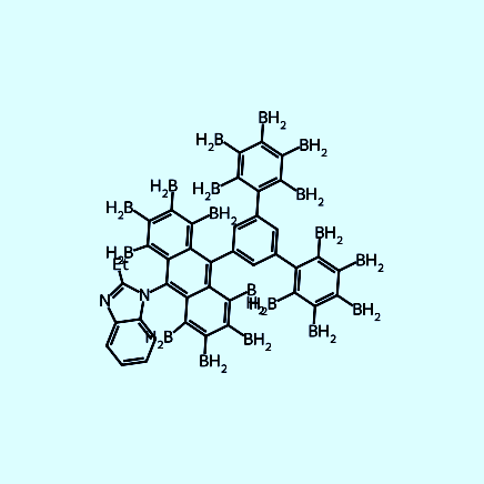 Bc1c(B)c(B)c(-c2cc(-c3c(B)c(B)c(B)c(B)c3B)cc(-c3c4c(B)c(B)c(B)c(B)c4c(-n4c(CC)nc5ccccc54)c4c(B)c(B)c(B)c(B)c34)c2)c(B)c1B